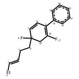 CCC=CCCC1(F)C=CC(c2ccccc2)=C(F)C1